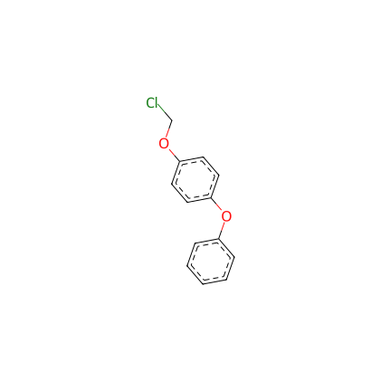 ClCOc1ccc(Oc2ccccc2)cc1